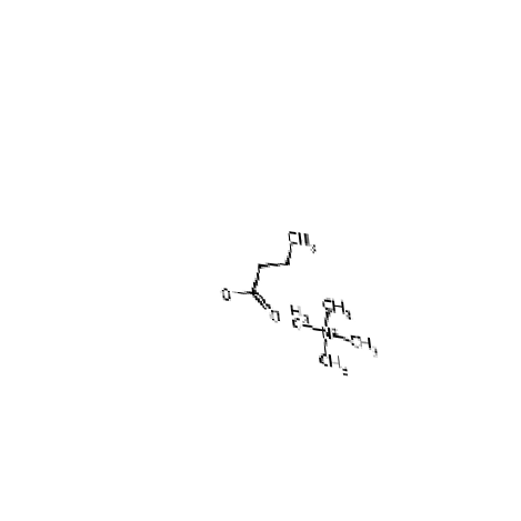 CCCC(=O)[O-].C[N+](C)(C)C